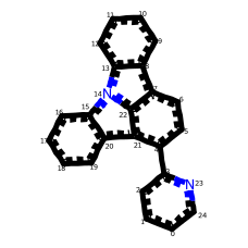 c1ccc(-c2ccc3c4ccccc4n4c5ccccc5c2c34)nc1